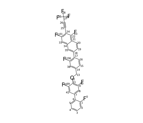 Fc1ccccc1-c1cc(F)c(OCc2ccc(-c3ccc4c(F)c(C#CC(F)(F)F)c(F)cc4c3)c(F)c2)c(F)c1